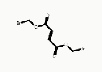 O=C(/C=C/C(=O)OCBr)OCBr